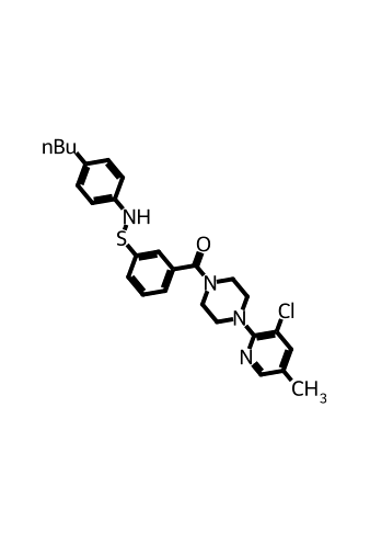 CCCCc1ccc(NSc2cccc(C(=O)N3CCN(c4ncc(C)cc4Cl)CC3)c2)cc1